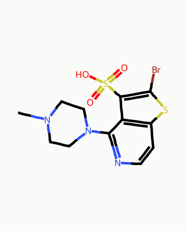 CN1CCN(c2nccc3sc(Br)c(S(=O)(=O)O)c23)CC1